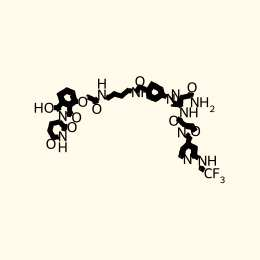 NC(=O)c1nn(-c2ccc(C(=O)NCCCCNC(=O)COc3cccc4c3C(=O)N(C3CCC(=O)NC3=O)C4O)cc2)cc1NC(=O)c1coc(-c2ccnc(NCC(F)(F)F)c2)n1